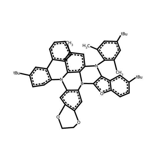 Cc1cc2c3c(c1)N(c1c(C)cc(C(C)(C)C)cc1C)c1c(oc4ccc(C(C)(C)C)cc14)B3c1cc3c(cc1N2c1ccc(C(C)(C)C)cc1-c1ccccc1)OCCO3